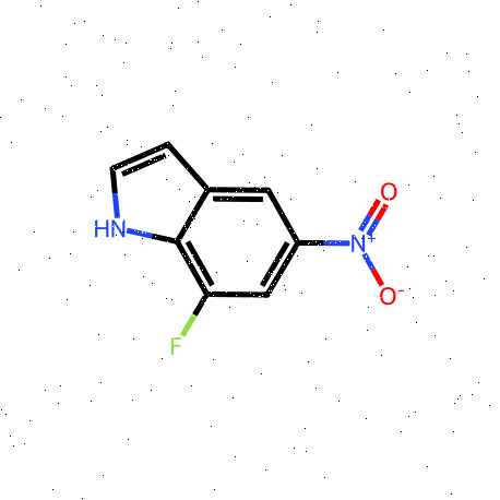 O=[N+]([O-])c1cc(F)c2[nH]ccc2c1